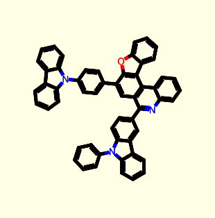 c1ccc(-n2c3ccccc3c3cc(-c4nc5ccccc5c5c4cc(-c4ccc(-n6c7ccccc7c7ccccc76)cc4)c4oc6ccccc6c45)ccc32)cc1